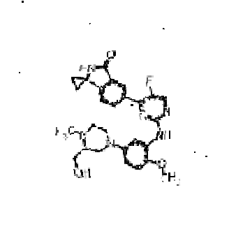 COc1ccc(N2CCN(C)C(CO)C2)cc1Nc1ncc(F)c(-c2ccc3c(c2)C(=O)NC32CC2)n1